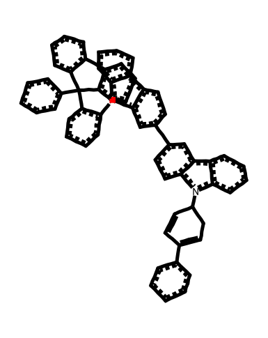 C1=CC(n2c3ccccc3c3cc(-c4ccc5c6ccccc6n(-c6ccccc6C6(c7ccccc7)c7ccccc7-c7ccccc76)c5c4)ccc32)CC=C1c1ccccc1